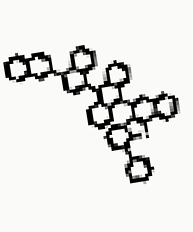 c1ccc(-c2cccc3c2oc2c4ccccc4cc(-c4c5ccccc5c(-c5ccc(-c6ccc7ccccc7c6)c6ccccc56)c5ccccc45)c32)cc1